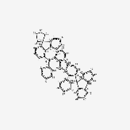 c1ccc(N(c2cccc3c2-c2ccccc2C32CCCC2)c2cccc3c2sc2cc(C4(c5ccccc5)c5ccccc5-c5ccccc54)ccc23)cc1